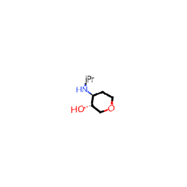 CC(C)N[C@H]1CCOC[C@@H]1O